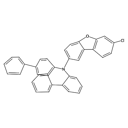 Clc1ccc2c(c1)oc1ccc(N(c3ccc(-c4ccccc4)cc3)c3ccccc3-c3ccccc3)cc12